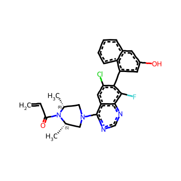 C=CC(=O)N1[C@H](C)CN(c2ncnc3c(F)c(-c4cc(O)cc5ccccc45)c(Cl)cc23)C[C@@H]1C